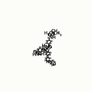 CC(C)(C)OC(=O)NCC1CCC(C(=O)N[C@@H](Cc2ccc(-c3ccnc(N4CCOCC4)c3)cc2)C(=O)Nc2ccc3c(=O)[nH][nH]c3c2)CC1